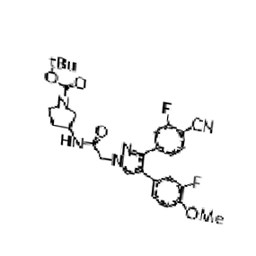 COc1ccc(-c2cn(CC(=O)NC3CCN(C(=O)OC(C)(C)C)C3)nc2-c2ccc(C#N)c(F)c2)cc1F